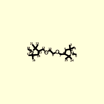 CN1C(C)(C)CC(COCCOCC2CC(C)(C)N(C)C2(C)C)C1(C)C